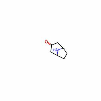 O=C1C[C]2CCC(C1)N2